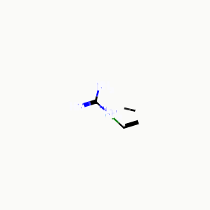 C=CCl.CC(=O)O.N=C(N)N